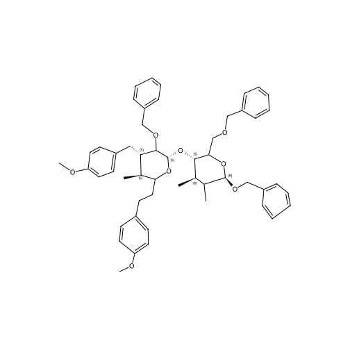 COc1ccc(CCC2O[C@@H](O[C@@H]3C(COCc4ccccc4)O[C@@H](OCc4ccccc4)C(C)[C@H]3C)C(OCc3ccccc3)[C@@H](Cc3ccc(OC)cc3)[C@@H]2C)cc1